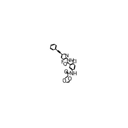 O=C(Nc1ncc(C#Cc2ccccc2)cc1F)c1cc(NC(=O)C2COCCO2)ccc1Cl